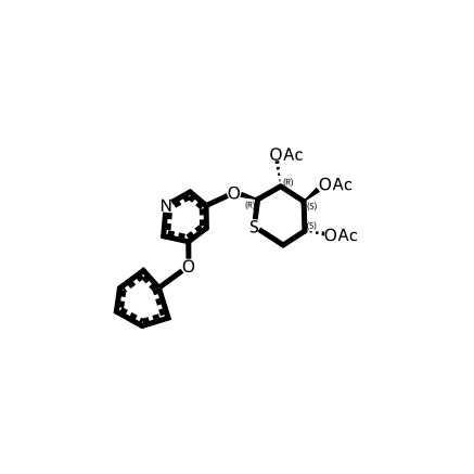 CC(=O)O[C@@H]1[C@@H](OC(C)=O)[C@H](OC(C)=O)CS[C@H]1Oc1cncc(Oc2ccccc2)c1